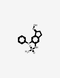 CS(=O)(=O)Nc1cc2c(cc1Oc1ccccc1)C(=NO)CC2